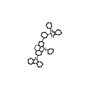 c1ccc(-n2c(-c3cccc(-c4cc5c6c7c(cc(-n8c9ccccc9c9ccccc98)cc7n(-c7ccccc7)c6c4)CC5)c3)nc3ccccc32)cc1